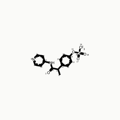 CC(C(=O)Nc1ccncc1)c1ccc(OS(=O)(=O)C(F)(F)F)cc1